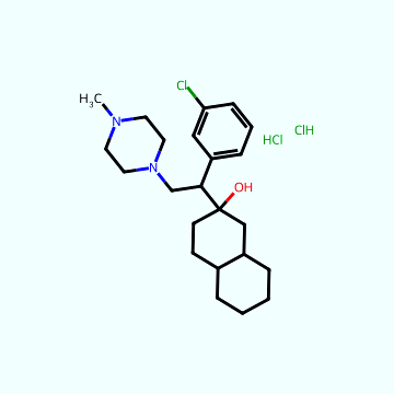 CN1CCN(CC(c2cccc(Cl)c2)C2(O)CCC3CCCCC3C2)CC1.Cl.Cl